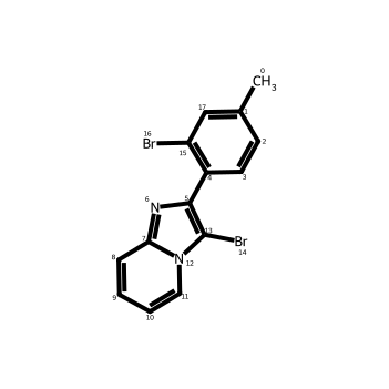 Cc1ccc(-c2nc3ccccn3c2Br)c(Br)c1